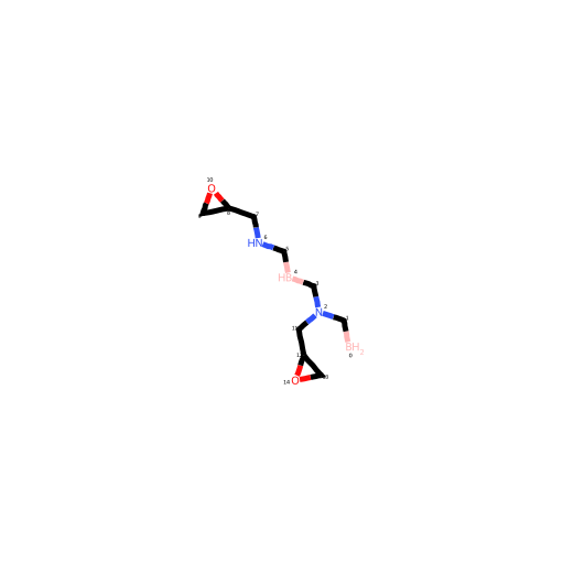 BCN(CBCNCC1CO1)CC1CO1